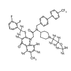 [2H]c1c(C)c([2H])c2c(=O)c([2H])c(SC([2H])([2H])c3cccc(F)c3F)n(CC(=O)N(Cc3ccc(-c4ccc(C(F)(F)F)cc4)cc3)C3CCN(C([2H])([2H])C([2H])([2H])OC([2H])([2H])[2H])CC3)c2c1[2H]